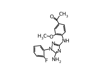 COc1cc(C(C)=O)ccc1Nc1nc(N)n(-c2ccccc2F)n1